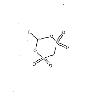 O=S1(=O)CS(=O)(=O)OC(F)O1